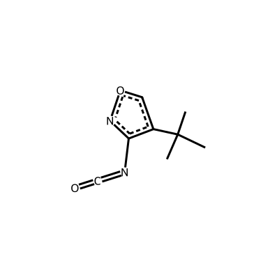 CC(C)(C)c1conc1N=C=O